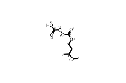 COC(C)CCOC(=O)OOC(=O)O